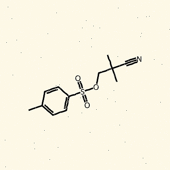 Cc1ccc(S(=O)(=O)OCC(C)(C)C#N)cc1